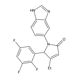 CCC1=CC(=O)N(c2ccc3[nH]cnc3c2)C1c1cc(F)cc(F)c1F